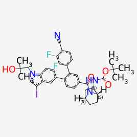 CC(C)(O)Cn1cc(I)c2cc(-c3ccc(C(=O)N4[C@@H]5CC[C@H]4[C@@H](NC(=O)OC(C)(C)C)C5)cc3-c3ccc(C#N)c(F)c3)c(F)cc21